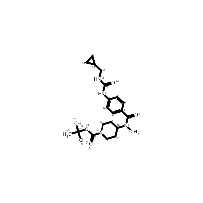 CN(C(=O)c1ccc(NC(=O)NCC2CC2)cc1)C1CCN(C(=O)OC(C)(C)C)CC1